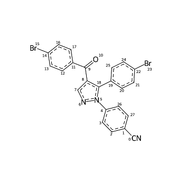 N#Cc1ccc(-n2ncc(C(=O)c3ccc(Br)cc3)c2-c2ccc(Br)cc2)cc1